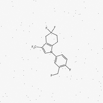 FCc1cc(-n2cc(C(F)(F)F)c3c2CCC(F)(F)C3)ccc1F